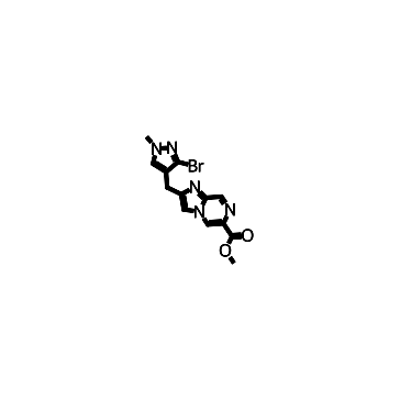 COC(=O)c1cn2cc(Cc3cn(C)nc3Br)nc2cn1